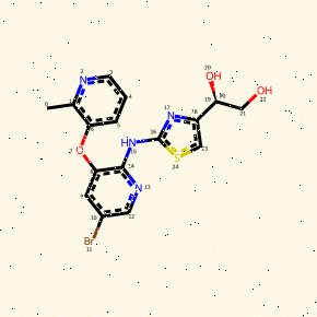 Cc1ncccc1Oc1cc(Br)cnc1Nc1nc([C@@H](O)CO)cs1